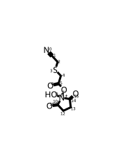 N#CCSCC(=O)O[N+]1(O)C(=O)CCC1=O